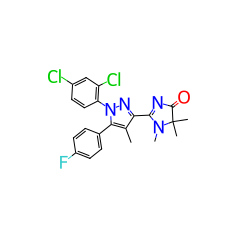 Cc1c(C2=NC(=O)C(C)(C)N2C)nn(-c2ccc(Cl)cc2Cl)c1-c1ccc(F)cc1